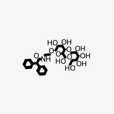 O=C(NCCO[C@H]1OC(CO)[C@H](O[C@@H]2OC(CO)[C@H](O)[C@@H](O)C2O)[C@@H](O)C1O)C(c1ccccc1)c1ccccc1